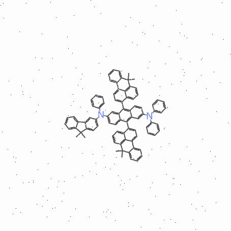 CC1(C)c2ccccc2-c2cc(N(c3ccccc3)c3ccc4c(-c5ccc6c7c(cccc57)C(C)(C)c5ccccc5-6)c5cc(N(c6ccccc6)c6ccccc6)ccc5c(-c5ccc6c7c(cccc57)C(C)(C)c5ccccc5-6)c4c3)ccc21